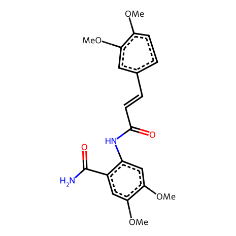 COc1ccc(C=CC(=O)Nc2cc(OC)c(OC)cc2C(N)=O)cc1OC